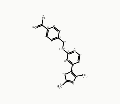 Cc1nc(C)c(-c2ccnc(NCc3ccc(C(=O)O)cc3)n2)s1